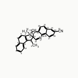 CC1c2c(ccc3ccccc23)[N+](C)(C)C12C=Nc1c(ccc3cc(C#N)ccc13)O2